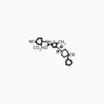 Cc1sc(C(=O)Nc2ccc(C#N)cc2C(=O)O)cc1S(=O)(=O)N1CCC(C#N)(c2ccccc2)CC1